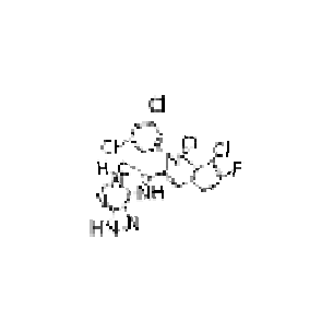 CC[C@@H](Nc1ncnc2[nH]cnc12)c1cc2ccc(F)c(Cl)c2c(=O)n1-c1cc(Cl)cc(Cl)c1